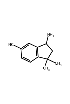 CC1(C)CC(N)c2cc(C#N)ccc21